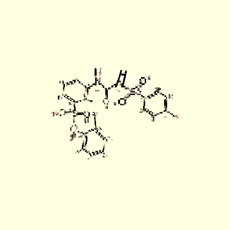 Cc1ccc(S(=O)(=O)NC(=O)Nc2cccc(S(=O)(=O)Oc3ccccc3C)c2)cc1